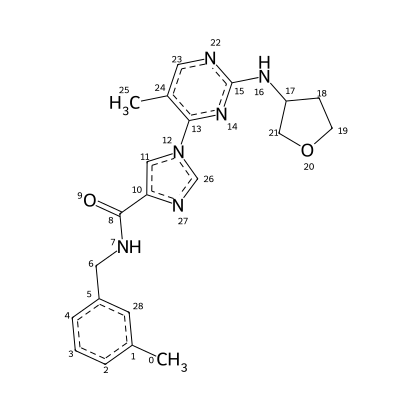 Cc1cccc(CNC(=O)c2cn(-c3nc(NC4CCOC4)ncc3C)cn2)c1